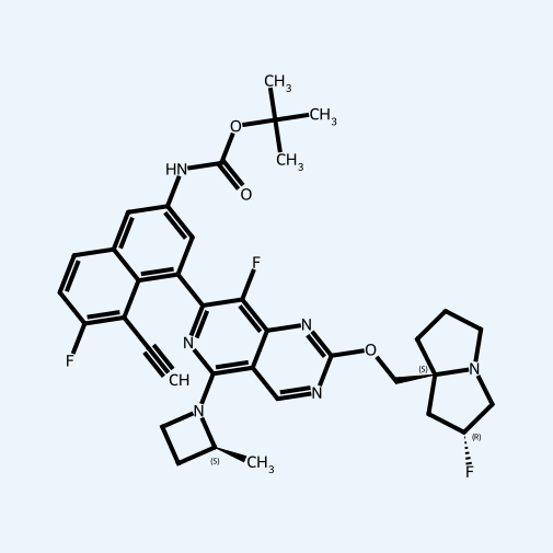 C#Cc1c(F)ccc2cc(NC(=O)OC(C)(C)C)cc(-c3nc(N4CC[C@@H]4C)c4cnc(OC[C@@]56CCCN5C[C@H](F)C6)nc4c3F)c12